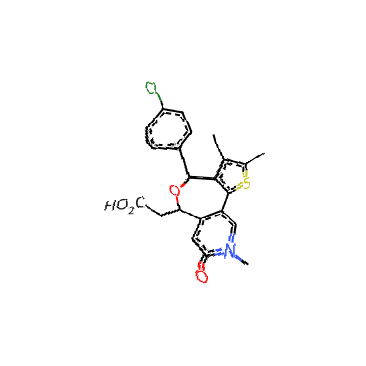 Cc1sc2c(c1C)C(c1ccc(Cl)cc1)OC(CC(=O)O)c1cc(=O)n(C)cc1-2